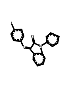 O=C1/C(=N\c2ccc(I)cc2)c2ccccc2N1c1ccccc1